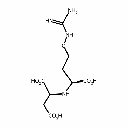 N=C(N)NOCC[C@H](NC(CC(=O)O)C(=O)O)C(=O)O